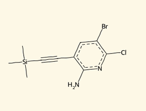 C[Si](C)(C)C#Cc1cc(Br)c(Cl)nc1N